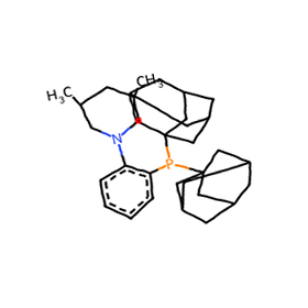 CC1CC(C)CN(c2ccccc2P(C23CC4CC(CC(C4)C2)C3)C23CC4CC(CC(C4)C2)C3)C1